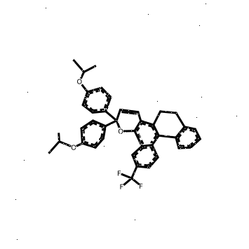 CC(C)Oc1ccc(C2(c3ccc(OC(C)C)cc3)C=Cc3c4c(c5ccc(C(F)(F)F)cc5c3O2)-c2ccccc2CC4)cc1